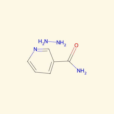 NC(=O)c1cccnc1.NN